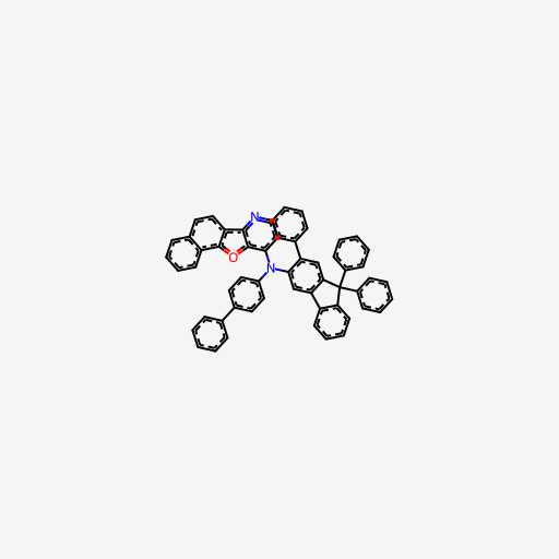 c1ccc(-c2ccc(N(c3cc4c(cc3-c3ccccc3)C(c3ccccc3)(c3ccccc3)c3ccccc3-4)c3ccnc4c3oc3c5ccccc5ccc43)cc2)cc1